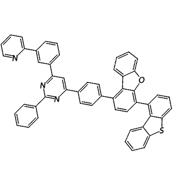 c1ccc(-c2nc(-c3ccc(-c4ccc(-c5cccc6sc7ccccc7c56)c5oc6ccccc6c45)cc3)cc(-c3cccc(-c4ccccn4)c3)n2)cc1